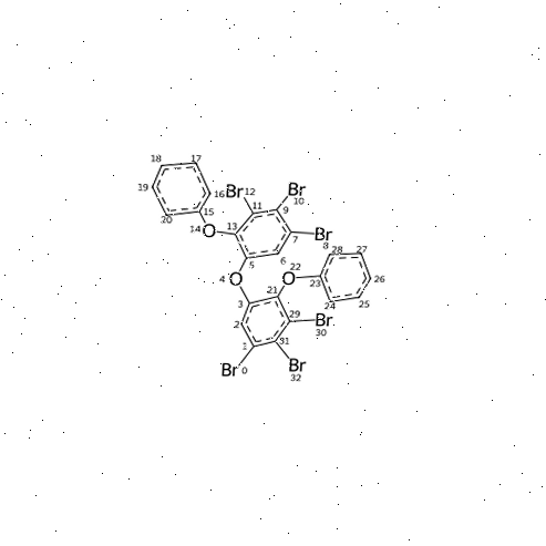 Brc1cc(Oc2cc(Br)c(Br)c(Br)c2Oc2ccccc2)c(Oc2ccccc2)c(Br)c1Br